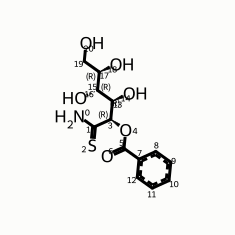 NC(=S)[C@H](OC(=O)c1ccccc1)[C@H](O)[C@H](O)[C@H](O)CO